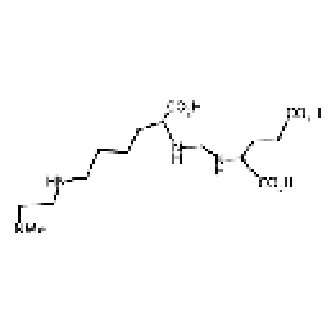 CNCCNCCCCC(NCNC(CCC(=O)O)C(=O)O)C(=O)O